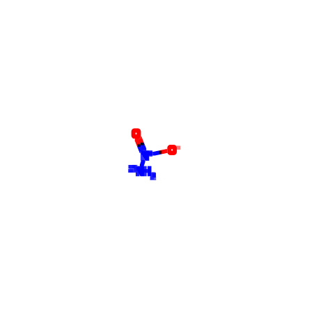 [15NH2][N+](=O)[O-]